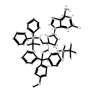 COc1ccc(C(OC[C@]2(CO[Si](c3ccccc3)(c3ccccc3)C(C)(C)C)O[C@@H](n3cnc4c(N)nc(F)nc43)C[C@@H]2O[Si](C)(C)C(C)(C)C)(c2ccccc2)c2ccccc2)cc1